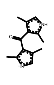 Cc1c[nH]c(C)c1C(=O)c1c(C)c[nH]c1C